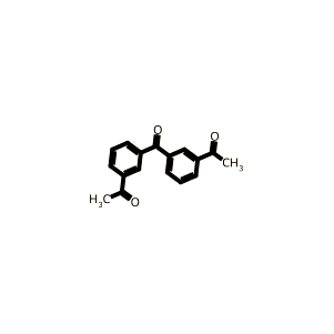 CC(=O)c1cccc(C(=O)c2cccc(C(C)=O)c2)c1